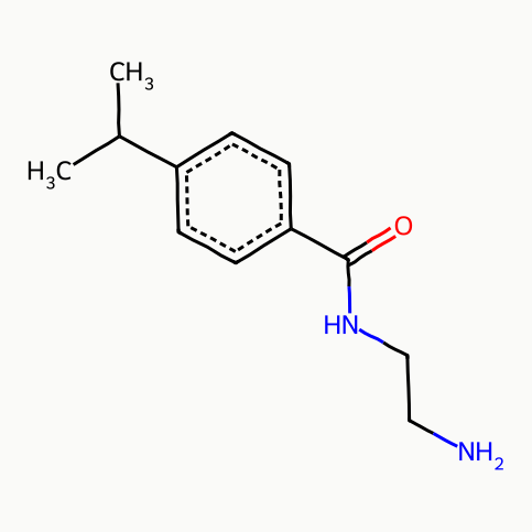 CC(C)c1ccc(C(=O)NCCN)cc1